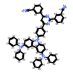 N#Cc1cccc(-c2cc(-c3ccc(-n4c5ccc(N(c6ccccc6)c6ccccc6)cc5c5cc(N(c6ccccc6)c6ccccc6)ccc54)cc3)nc(-c3cccc(C#N)c3)n2)c1